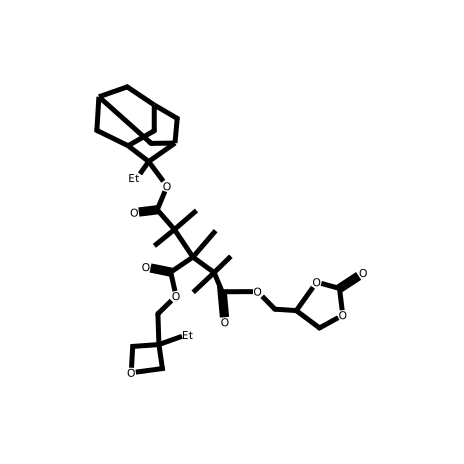 CCC1(COC(=O)C(C)(C(C)(C)C(=O)OCC2COC(=O)O2)C(C)(C)C(=O)OC2(CC)C3CC4CC(C3)CC2C4)COC1